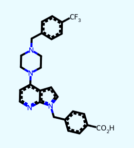 O=C(O)c1ccc(Cn2ccc3c(N4CCN(Cc5ccc(C(F)(F)F)cc5)CC4)ccnc32)cc1